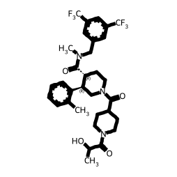 Cc1ccccc1[C@@H]1CN(C(=O)C2CCN(C(=O)C(C)O)CC2)CC[C@H]1C(=O)N(C)Cc1cc(C(F)(F)F)cc(C(F)(F)F)c1